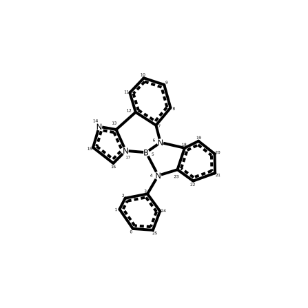 c1ccc(N2B3N(c4ccccc4-c4nccn43)c3ccccc32)cc1